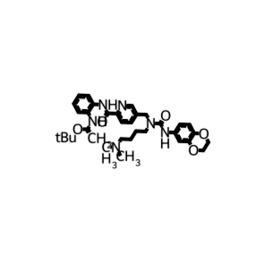 C=C(Nc1ccccc1NC(=O)c1ccc(CN(CCCCN(C)C)C(=O)Nc2ccc3c(c2)OCCO3)cn1)OC(C)(C)C